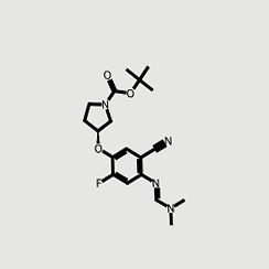 CN(C)C=Nc1cc(F)c(O[C@H]2CCN(C(=O)OC(C)(C)C)C2)cc1C#N